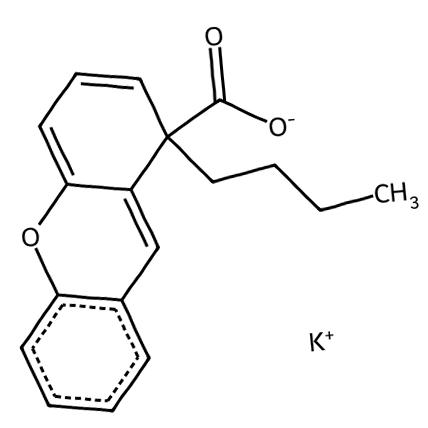 CCCCC1(C(=O)[O-])C=CC=C2Oc3ccccc3C=C21.[K+]